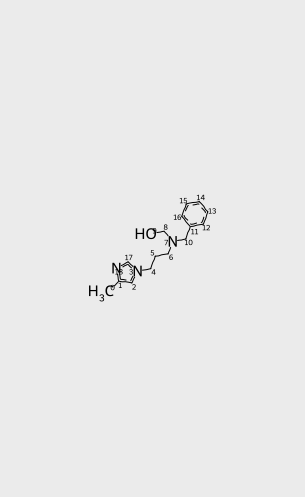 Cc1cn(CCCN(CO)Cc2ccccc2)cn1